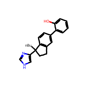 CCCCC1(c2c[nH]cn2)CCc2cc(-c3ccccc3O)ccc21